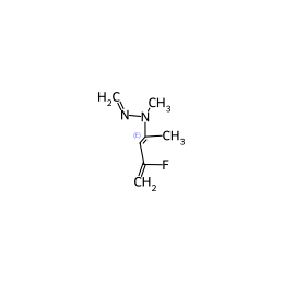 C=NN(C)/C(C)=C/C(=C)F